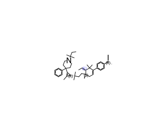 C/C=C1/C(C)(C)C(c2ccc([C@@H](C)I)cc2)=CC[C@]1(C)CCC(C)(C)[C@@H]1C(C)=C1C1(c2ccccc2)CCN(C(C)(C)CC)CC1